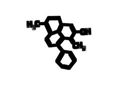 C=c1c(O)cc2ccc(C)c3ccc(-c4ccccc4)c1c23